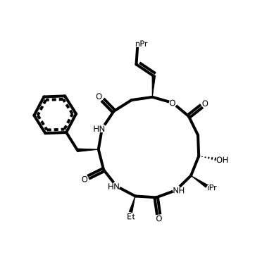 CCC/C=C/[C@@H]1CC(=O)N[C@H](Cc2ccccc2)C(=O)N[C@H](CC)C(=O)N[C@H](C(C)C)[C@@H](O)CC(=O)O1